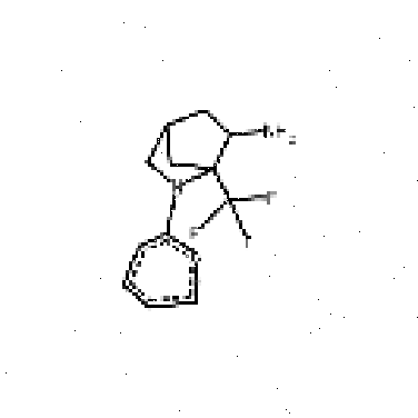 NC1CC2CN(c3ccccn3)C1(C(F)(F)F)C2